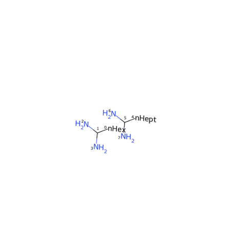 CCCCCCC(N)N.CCCCCCCC(N)N